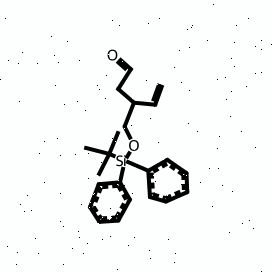 C=CC(CC=O)CO[Si](c1ccccc1)(c1ccccc1)C(C)(C)C